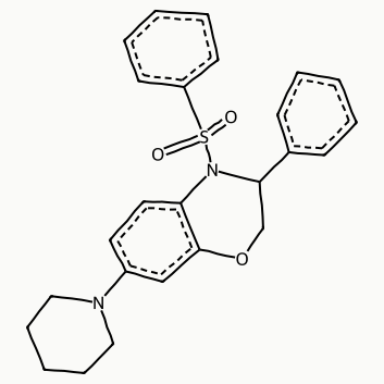 O=S(=O)(c1ccccc1)N1c2ccc(N3CCCCC3)cc2OCC1c1ccccc1